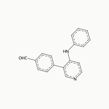 O=Cc1ccc(-c2cnccc2Nc2ccccc2)cc1